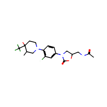 CC(=O)NCC1CN(c2ccc(N3CCC(O)(C(F)(F)F)C(C)C3)c(F)c2)C(=O)O1